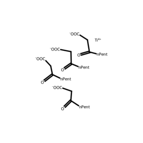 CCCCCC(=O)CC(=O)[O-].CCCCCC(=O)CC(=O)[O-].CCCCCC(=O)CC(=O)[O-].CCCCCC(=O)CC(=O)[O-].[Ti+4]